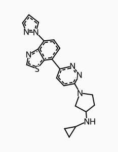 c1cnn(-c2ccc(-c3ccc(N4CCC(NC5CC5)C4)nn3)c3scnc23)c1